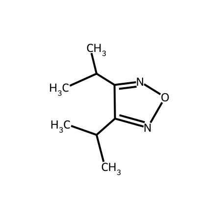 CC(C)c1nonc1C(C)C